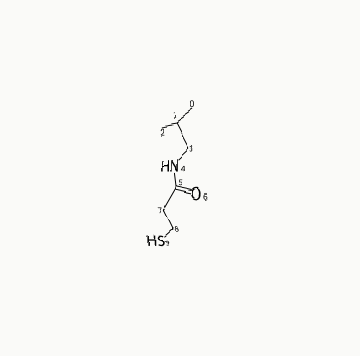 CC(C)CNC(=O)CCS